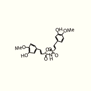 COc1ccc(C=CS(=O)(=O)NS(=O)(=O)C=Cc2ccc(OC)c(O)c2)cc1O